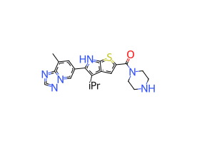 Cc1cc(-c2[nH]c3sc(C(=O)N4CCNCC4)cc3c2C(C)C)cn2ncnc12